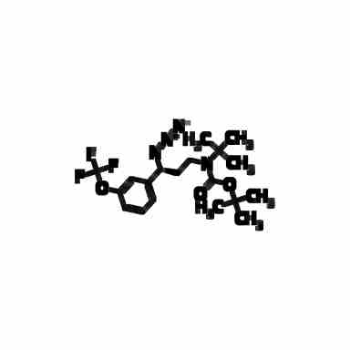 CC(C)(C)OC(=O)N(CC[C@H](N=[N+]=[N-])c1cccc(OC(F)(F)F)c1)C(C)(C)C